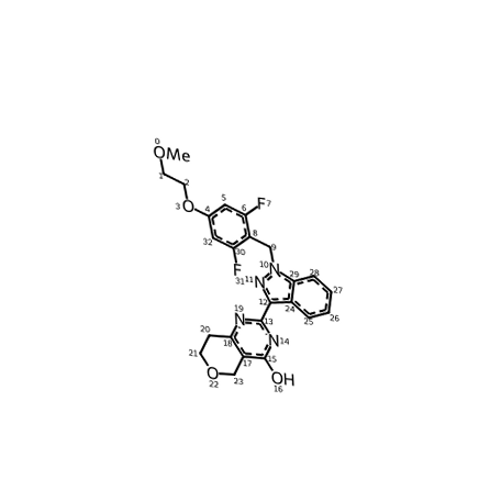 COCCOc1cc(F)c(Cn2nc(-c3nc(O)c4c(n3)CCOC4)c3ccccc32)c(F)c1